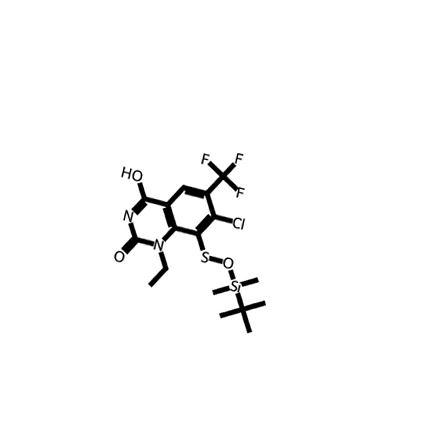 CCn1c(=O)nc(O)c2cc(C(F)(F)F)c(Cl)c(SO[Si](C)(C)C(C)(C)C)c21